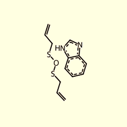 C=CCSOSCC=C.c1ccc2[nH]cnc2c1